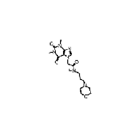 Cn1c(=O)c2c(ncn2CC(=O)NCCCN2CCOCC2)n(C)c1=O